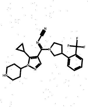 N#CN=C(c1cnn(C2CCNCC2)c1C1CC1)N1CCC(c2ccccc2C(F)(F)F)C1